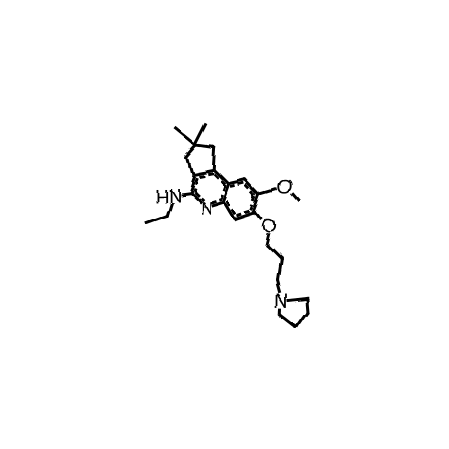 CCNc1nc2cc(OCCCN3CCCC3)c(OC)cc2c2c1CC(C)(C)C2